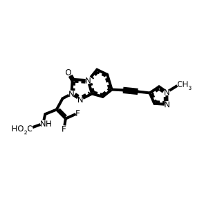 Cn1cc(C#Cc2ccn3c(=O)n(CC(CNC(=O)O)=C(F)F)nc3c2)cn1